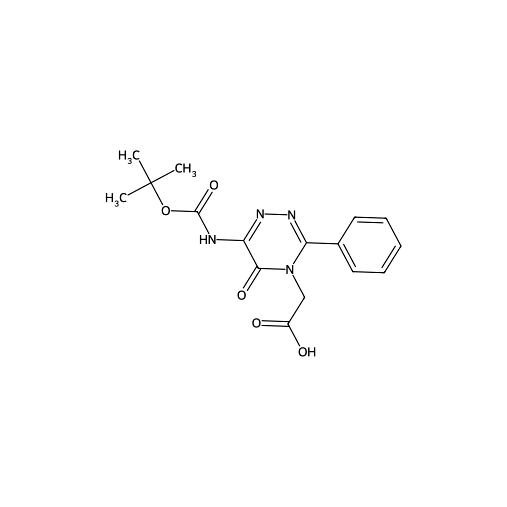 CC(C)(C)OC(=O)Nc1nnc(-c2ccccc2)n(CC(=O)O)c1=O